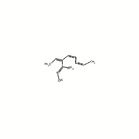 CC=C(/C=C\C=C/C)/C(N)=N/O